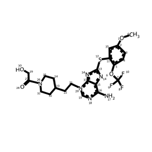 COc1ccc(OC(F)(F)F)c(Sc2nc3c(N)ncn(CCC4CCN(C(=O)CO)CC4)c-3n2)c1